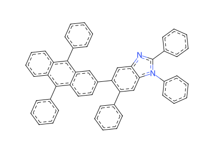 c1ccc(-c2cc3c(cc2-c2ccc4c(-c5ccccc5)c5ccccc5c(-c5ccccc5)c4c2)nc(-c2ccccc2)n3-c2ccccc2)cc1